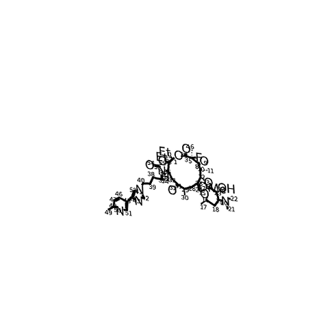 CC[C@H]1OC(=O)[C@@](C)(F)C(=O)[C@H](C)[C@@H](OC2O[C@H](C)C[C@H](N(C)C)[C@H]2O)[C@@](C)(OC)C[C@@H](C)C(=O)[C@H](C)[C@H]2N(CCCCn3cnc(-c4ccc(C)nc4)c3)C(=O)O[C@]12CC